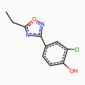 CCc1nc(-c2ccc(O)c(Cl)c2)no1